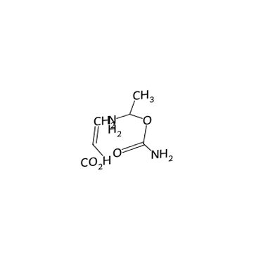 C=CC(=O)O.CC(N)OC(N)=O